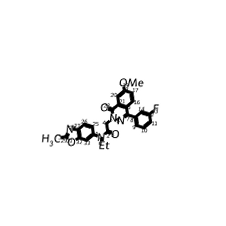 CCN(C(=O)Cn1nc(-c2cccc(F)c2)c2ccc(OC)cc2c1=O)c1ccc2nc(C)oc2c1